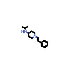 CC(C)NC1CCN(CCc2ccccc2)CC1